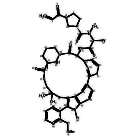 C=CC(=O)N1CC[C@H](C(=O)N(C)[C@H](C(=O)N[C@@H]2C(=O)N3CCC[C@H](N3)C(=O)OCC(C)(C)Cc3c(-c4cccnc4COC)n(CC)c4ccc(cc34)C3=NC2C=CS3)C(C)C)C1